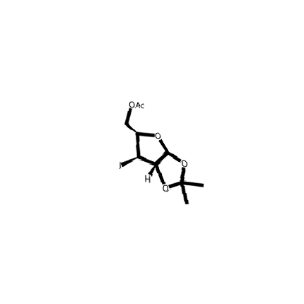 CC(=O)OC[C@H]1OC2OC(C)(C)O[C@@H]2[C@H]1I